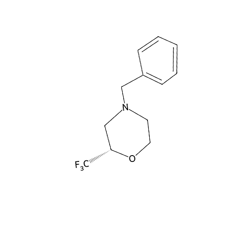 FC(F)(F)[C@@H]1CN(Cc2ccccc2)CCO1